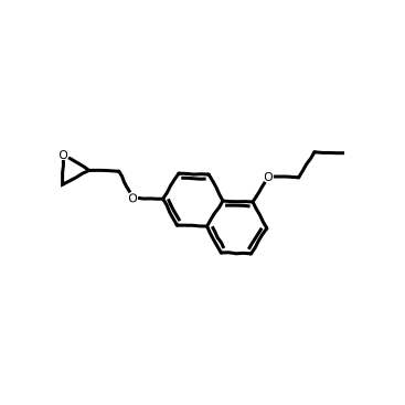 CCCOc1cccc2cc(OCC3CO3)ccc12